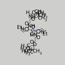 CCN1CCc2cc(C3=C([O-])/C(=c4/cc5c(cc4NC(=O)CCC(=O)OC4CC(C)(C)N(C)C(C)(C)C4)=[N+](CC)CC5)C3=O)c(NC(=O)CCC(=N)OC3CC(C)(C)N(C)C(C)(C)C3)cc21